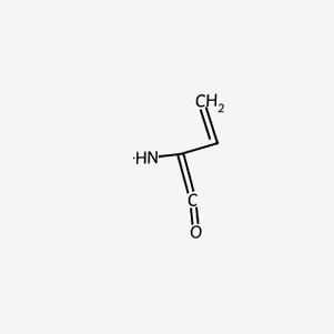 C=CC([NH])=C=O